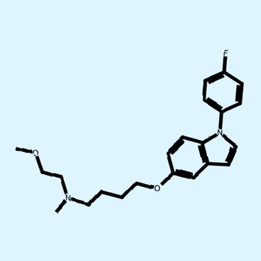 COCCN(C)CCCCOc1ccc2c(ccn2-c2ccc(F)cc2)c1